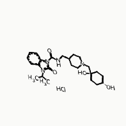 CC(C)n1c(=O)n(C(=O)NCC2CCN(C[C@]3(O)CC[C@H](O)CC3)CC2)c2ccccc21.Cl